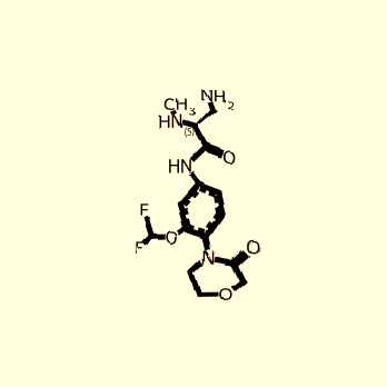 CN[C@@H](CN)C(=O)Nc1ccc(N2CCOCC2=O)c(OC(F)F)c1